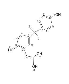 CC(C)(c1ccc(O)cc1)c1ccc(O)c(CC(O)O)c1